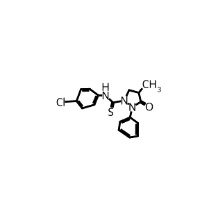 CC1CN(C(=S)Nc2ccc(Cl)cc2)N(c2ccccc2)C1=O